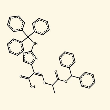 CC(O/N=C(\C(=O)O)c1csc(NC(c2ccccc2)(c2ccccc2)c2ccccc2)n1)C(=O)OC(c1ccccc1)c1ccccc1